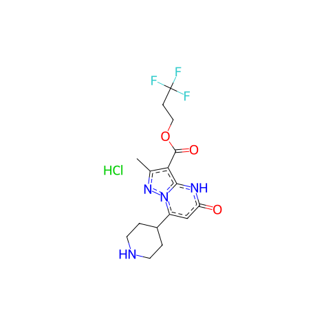 Cc1nn2c(C3CCNCC3)cc(=O)[nH]c2c1C(=O)OCCC(F)(F)F.Cl